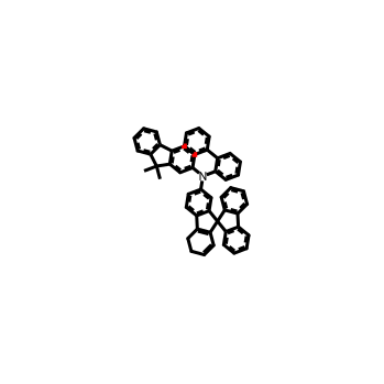 CC1(C)c2ccccc2-c2ccc(N(c3ccc4c(c3)C3(C5=C4CCC=C5)c4ccccc4-c4ccccc43)c3ccccc3-c3ccccc3)cc21